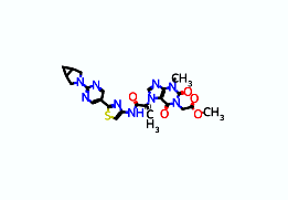 COC(=O)Cn1c(=O)c2c(ncn2[C@@H](C)C(=O)Nc2csc(-c3cnc(N4CC5CC5C4)nc3)n2)n(C)c1=O